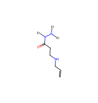 C=CCNCCC(=O)N(CC)N(CC)CC